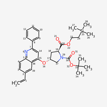 C=Cc1ccc2nc(-c3ccccc3)cc(O[C@@H]3C[C@@H](C(=O)OCC[Si](C)(C)C)N(C(=O)OC(C)(C)C)C3)c2c1